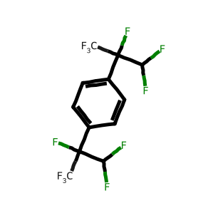 FC(F)C(F)(c1ccc(C(F)(C(F)F)C(F)(F)F)cc1)C(F)(F)F